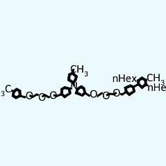 CCCCCCc1cc(-c2ccc(COCCOCCOCc3ccc(N(c4ccc(C)cc4)c4ccc(COCCOCCOCc5ccc(C)cc5)cc4)cc3)cc2)c(CCCCCC)cc1C